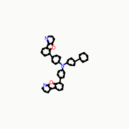 c1ccc(-c2ccc(N(c3ccc(-c4cccc5c4oc4ncccc45)cc3)c3ccc(-c4cccc5c4oc4cccnc45)cc3)cc2)cc1